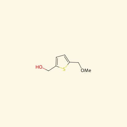 COCc1ccc(CO)s1